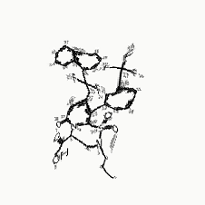 CCCN1CC(C(=O)O)n2c(c(-c3cccc(C(F)(F)F)c3)c(C(F)(F)c3cccc4ccccc34)cc2=O)S1(=O)=O